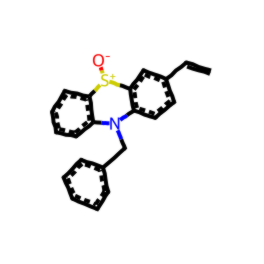 C=Cc1ccc2c(c1)[S+]([O-])c1ccccc1N2Cc1ccccc1